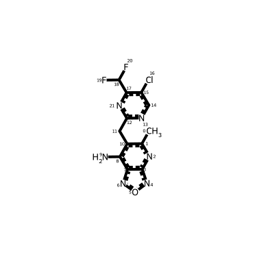 Cc1nc2nonc2c(N)c1Cc1ncc(Cl)c(C(F)F)n1